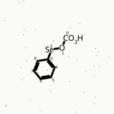 O=C(O)O[Se]c1ccccc1